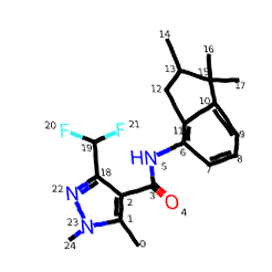 Cc1c(C(=O)Nc2cccc3c2CC(C)C3(C)C)c(C(F)F)nn1C